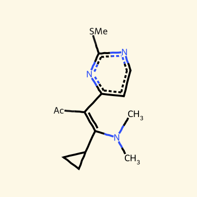 CSc1nccc(C(C(C)=O)=C(C2CC2)N(C)C)n1